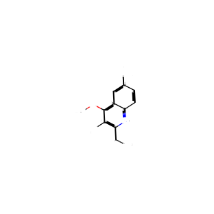 CCCCOc1c(C)c(COC(C)=O)nc2ccc(C)cc12